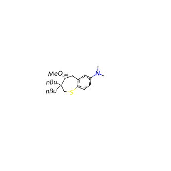 CCCCC1(CCCC)CSc2ccc(N(C)C)cc2C[C@H]1OC